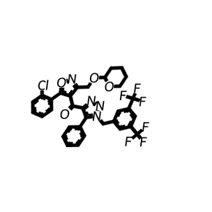 O=C(c1nnn(Cc2cc(C(F)(F)F)cc(C(F)(F)F)c2)c1-c1ccccc1)c1c(COC2CCCCO2)noc1-c1ccccc1Cl